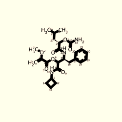 C=C(OC)C(=O)OC(C(=O)NC1CCC1)[C@H](Cc1ccccc1)NC(=O)[C@H](CC(C)C)OC(N)=O